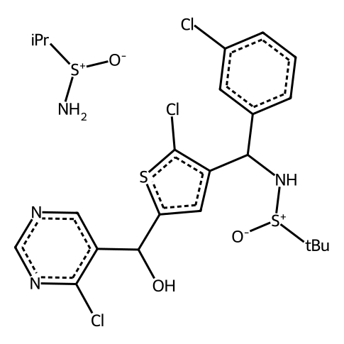 CC(C)(C)[S+]([O-])NC(c1cccc(Cl)c1)c1cc(C(O)c2cncnc2Cl)sc1Cl.CC(C)[S+](N)[O-]